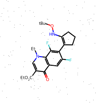 CCOC(=O)c1cn(CC)c2c(F)c(C3=C(NOC(C)(C)C)CCC3)c(F)cc2c1=O